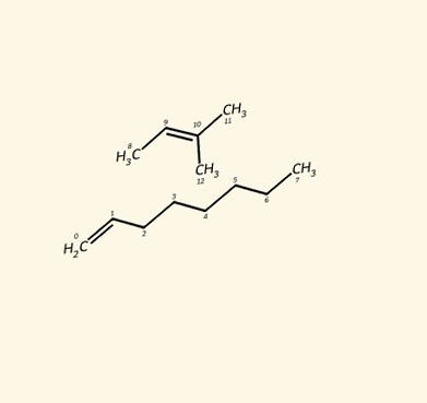 C=CCCCCCC.CC=C(C)C